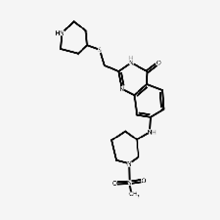 CS(=O)(=O)N1CCCC(Nc2ccc3c(=O)[nH]c(CSC4CCNCC4)nc3c2)C1